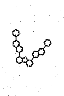 c1ccc(-c2ccc3cc(-c4cccc5c4sc4c(-c6ccc7cc(-c8ccccc8)ccc7c6)cccc45)ccc3c2)cc1